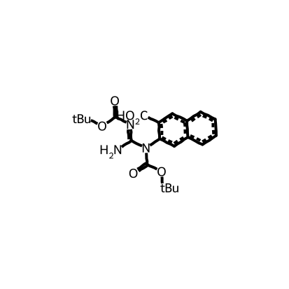 CC(C)(C)OC(=O)N=C(N)N(C(=O)OC(C)(C)C)c1cc2ccccc2cc1C(=O)O